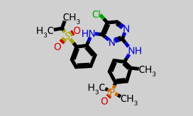 Cc1cc(P(C)(C)=O)ccc1Nc1ncc(Cl)c(Nc2ccccc2S(=O)(=O)C(C)C)n1